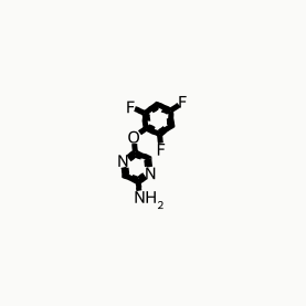 Nc1cnc(Oc2c(F)cc(F)cc2F)cn1